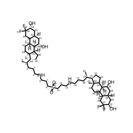 C[C@H](CCCNCCCS(=O)(=O)CCCNCCC[C@@H](C)[C@H]1CC[C@H]2[C@@H]3[C@@H](O)C[C@@H]4C[C@@H](O)C(F)(F)C[C@]4(C)[C@H]3CC[C@]12C)[C@H]1CC[C@H]2[C@@H]3[C@@H](O)C[C@@H]4C[C@@H](O)C(F)(F)C[C@]4(C)[C@H]3CC[C@]12C